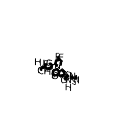 C=C(/C=C\C(F)=C/C)[C@H]1CC(F)(F)CCN1[C@H]1CCOc2cc(S(=O)(=O)Nc3ncns3)ccc21